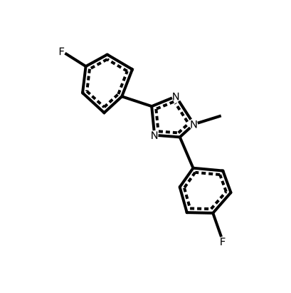 Cn1nc(-c2ccc(F)cc2)nc1-c1ccc(F)cc1